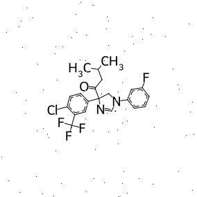 CC(C)CC(=O)C1(c2ccc(Cl)c(C(F)(F)F)c2)CN(c2cccc(F)c2)[C]=N1